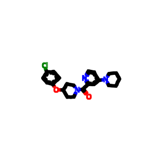 O=C(c1cc(N2CCCCC2)ccn1)N1CCC(Oc2ccc(Cl)cc2)CC1